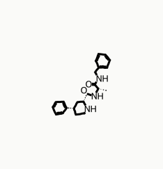 C[C@H](NC(=O)[C@H]1C[C@@H](c2ccccc2)CCN1)C(=O)NCc1ccccc1